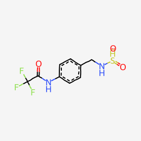 O=C(Nc1ccc(CN[SH](=O)=O)cc1)C(F)(F)F